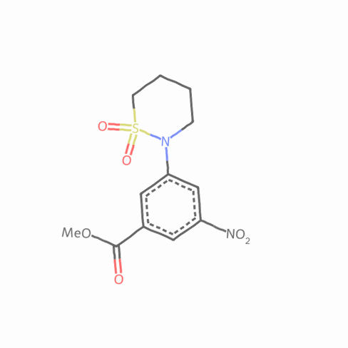 COC(=O)c1cc(N2CCCCS2(=O)=O)cc([N+](=O)[O-])c1